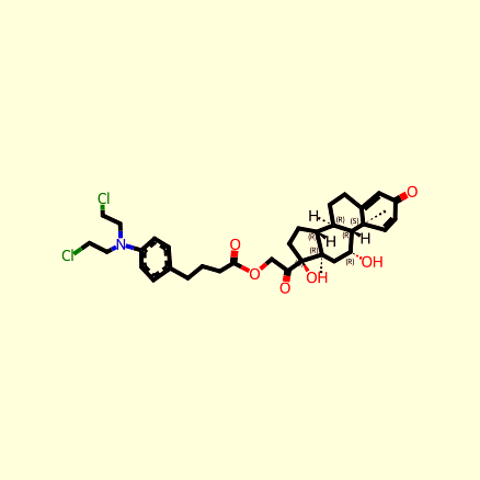 C[C@@]12C=CC(=O)C=C1CC[C@H]1[C@H]2[C@H](O)C[C@]2(C)[C@@H]1CC[C@@]2(O)C(=O)COC(=O)CCCc1ccc(N(CCCl)CCCl)cc1